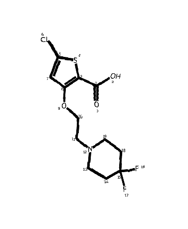 O=C(O)c1sc(Cl)cc1OCCN1CCC(F)(F)CC1